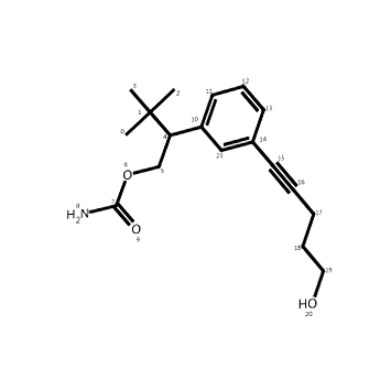 CC(C)(C)C(COC(N)=O)c1cccc(C#CCCCO)c1